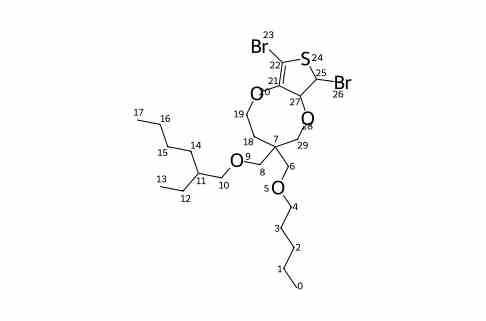 CCCCCOCC1(COCC(CC)CCCC)CCOC2=C(Br)SC(Br)C2OC1